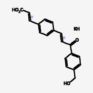 O=C(O)/C=C/c1ccc(/C=C/C(=O)c2ccc(CO)cc2)cc1.[KH]